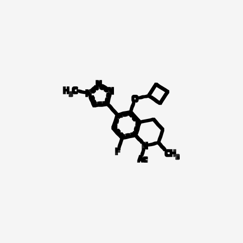 CC(=O)N1c2c(F)cc(-c3cn(C)nn3)c(OC3CCC3)c2CCC1C